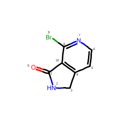 O=C1NCc2ccnc(Br)c21